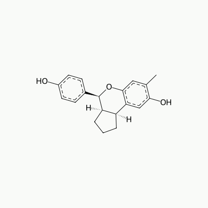 Cc1cc2c(cc1O)[C@H]1CCC[C@H]1[C@@H](c1ccc(O)cc1)O2